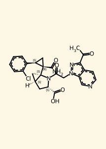 CC(=O)c1nn(CC(=O)N2[C@H](C(=O)O)C[C@H]3C[C@@]32[C@@]2(C(N)=O)C[C@@H]2c2ccccc2Cl)c2cnccc12